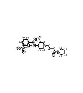 COC1CN(CCCC(=O)N2CCCC2)CCC1NC(=O)c1cccc([N+](=O)[O-])c1